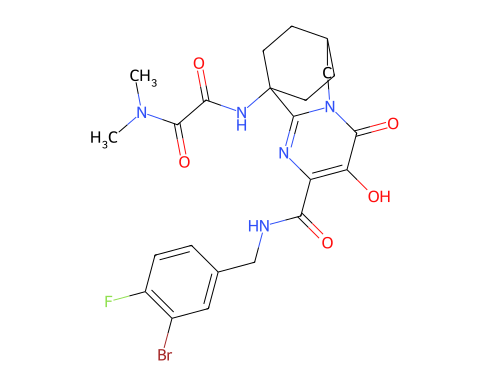 CN(C)C(=O)C(=O)NC12CCC(CC1)Cn1c2nc(C(=O)NCc2ccc(F)c(Br)c2)c(O)c1=O